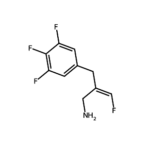 NC/C(=C\F)Cc1cc(F)c(F)c(F)c1